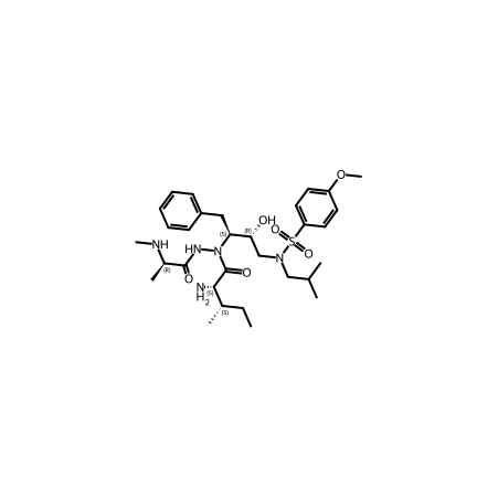 CC[C@H](C)[C@H](N)C(=O)N(NC(=O)[C@@H](C)NC)[C@@H](Cc1ccccc1)[C@H](O)CN(CC(C)C)S(=O)(=O)c1ccc(OC)cc1